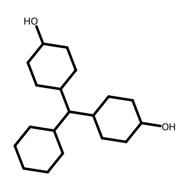 OC1CCC(C(C2CCCCC2)C2CCC(O)CC2)CC1